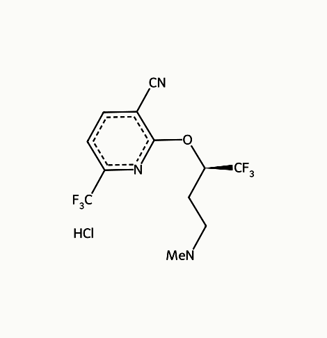 CNCC[C@@H](Oc1nc(C(F)(F)F)ccc1C#N)C(F)(F)F.Cl